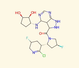 O=C(C1NNC2=NC=NC(N[C@@H]3CC[C@@H](O)[C@H]3O)C21)N1C[C@@H](F)C[C@@H]1C1CC(F)CN=C1Cl